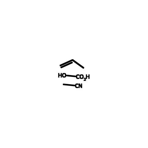 C=CC.CC#N.O=C(O)O